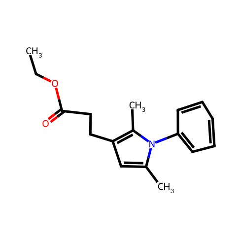 CCOC(=O)CCc1cc(C)n(-c2ccccc2)c1C